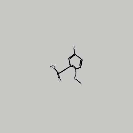 O=C(O)c1cc(Cl)ccc1OI